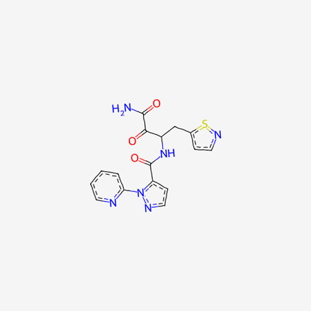 NC(=O)C(=O)C(Cc1ccns1)NC(=O)c1ccnn1-c1ccccn1